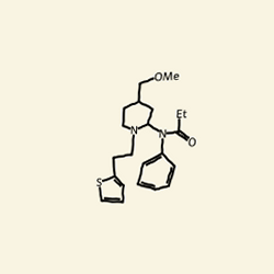 CCC(=O)N(c1ccccc1)C1CC(COC)CCN1CCc1cccs1